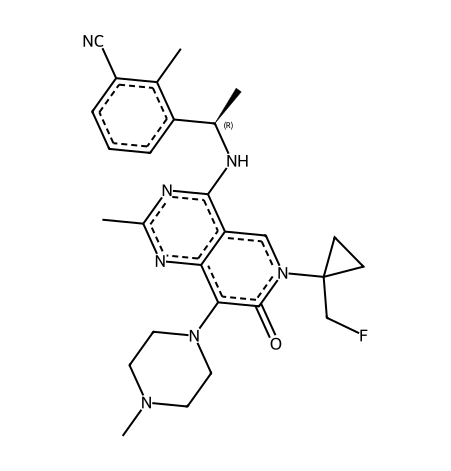 Cc1nc(N[C@H](C)c2cccc(C#N)c2C)c2cn(C3(CF)CC3)c(=O)c(N3CCN(C)CC3)c2n1